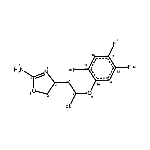 CCC(CC1COC(N)=N1)Oc1cc(F)c(F)cc1F